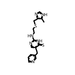 Cc1[nH]cnc1CSCCNc1ncc(Cc2cccnc2)c(=S)[nH]1